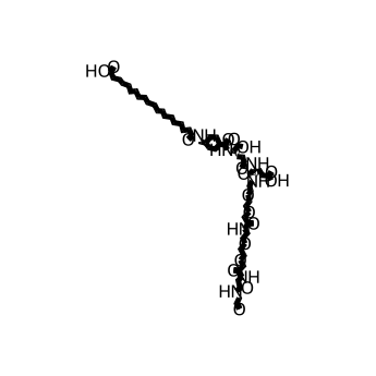 O=CCNC(=O)CNC(=O)COCCOCCNC(=O)COCCOCCNC(=O)[C@H](CCC(=O)O)NC(=O)CC[C@H](NC(=O)C1CCC(CNC(=O)CCCCCCCCCCCCCCCCCCC(=O)O)CC1)C(=O)O